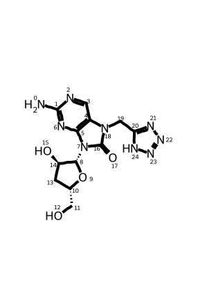 Nc1ncc2c(n1)n([C@@H]1O[C@H](CO)C[C@H]1O)c(=O)n2Cc1nnn[nH]1